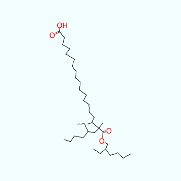 CCCCC(CC)COC(=O)C(C)(CC(CC)CCCC)C(C)CCCCCCCCCCCCCCCC(=O)O